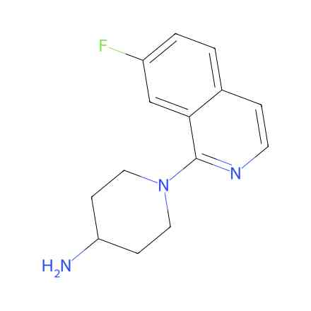 NC1CCN(c2nccc3ccc(F)cc23)CC1